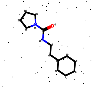 O=C([N]CCC1CCCCC1)N1CCCC1